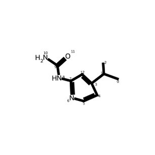 CC(C)c1ccnc(NC(N)=O)c1